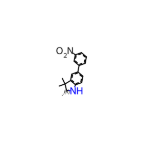 C[C@H]1Nc2ccc(-c3cccc([N+](=O)[O-])c3)cc2C1(C)C